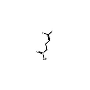 O=S(O)CCC=C(F)F